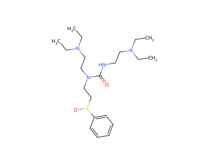 CCN(CC)CCNC(=O)N(CCN(CC)CC)CC[S+]([O-])c1ccccc1